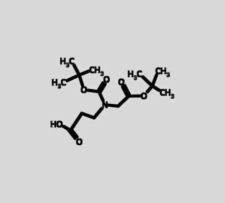 CC(C)(C)OC(=O)CN(CCC(=O)O)C(=O)OC(C)(C)C